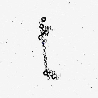 Nc1ncnc2c1c(-c1ccc(Oc3ccccc3)cc1)nn2C1CCCN(C(=O)/C=C/COCCOCCOCCOCCOc2cccc3c2C(=O)N(C2CCC(=O)NC2=O)C3=O)C1